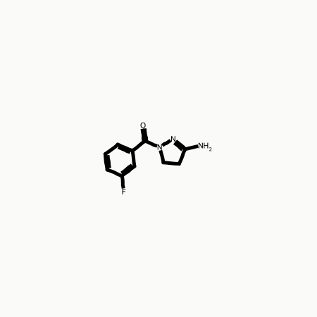 NC1=NN(C(=O)c2cccc(F)c2)CC1